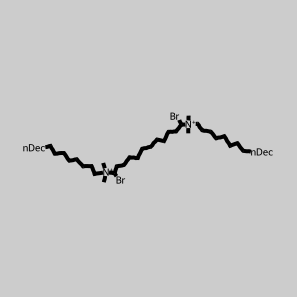 CCCCCCCCCCCCCCCCCC[N+](C)(C)C(Br)CCCCCCCCCCC(Br)[N+](C)(C)CCCCCCCCCCCCCCCCCC